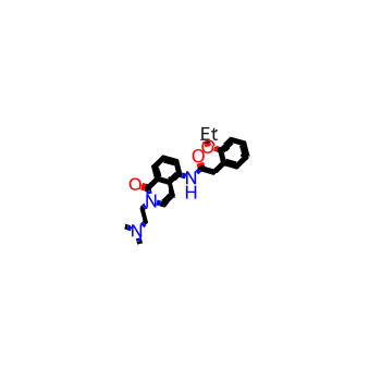 CCOc1ccccc1CC(=O)Nc1cccc2c(=O)n(CCN(C)C)ccc12